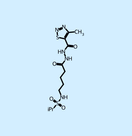 Cc1nnsc1C(=O)NNC(=O)CCCCNS(=O)(=O)C(C)C